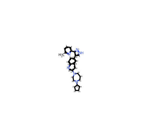 Cc1cccc(-c2n[nH]cc2-c2ccc3ncc(N4CCCN(C5CCCC5)CC4)cc3c2)n1